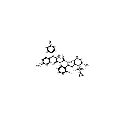 COC(=O)N(C(=O)[C@@H](N)[C@@H](c1ccc(Cl)cc1)c1ccc(OC)nc1)c1cccc(F)c1CC[C@H]1CNC[C@H](C)N1S(=O)(=O)C1CC1